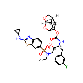 CC[C@]12CC3O[C@H]1OC[C@H]2CC3OC(=O)N[C@@H](Cc1cccc(F)c1)[C@H](O)CN(CC(C)C)S(=O)(=O)c1ccc2nc(NC3CC3)sc2c1